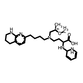 CO[C@H](C)CN(CCCCc1ccc2c(n1)NCCC2)CCC(NC1C=CC=CN1)C(=O)O